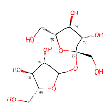 OC[C@H]1O[C@@](CO)(OC2O[C@H](CO)[C@@H](O)[C@@H]2O)[C@@H](O)[C@@H]1O